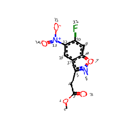 COC(=O)Cc1noc2cc(F)c([N+](=O)[O-])cc12